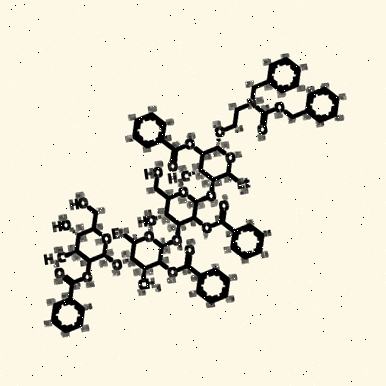 CCC1O[C@@H](O[C@@H]2C(OC(=O)c3ccccc3)[C@H](O[C@@H]3C(CC)O[C@@H](OCCN(Cc4ccccc4)C(=O)OCc4ccccc4)C(OC(=O)c4ccccc4)[C@H]3C)OC(CO)[C@H]2O)C(OC(=O)c2ccccc2)[C@@H](C)[C@@H]1O[C@@H]1OC(CO)[C@@H](O)[C@H](C)C1OC(=O)c1ccccc1